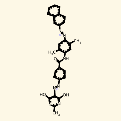 Cc1nc(O)c(/N=N/c2ccc(C(=O)Nc3cc(C)c(/N=N/c4ccc5ccccc5c4)cc3C)cc2)c(O)n1